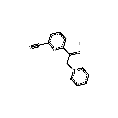 N#Cc1cccc(C(=O)C[n+]2ccccc2)n1.[I-]